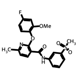 COc1cc(F)ccc1Oc1nc(C)ccc1C(=O)Nc1cccc(S(C)(=O)=O)c1